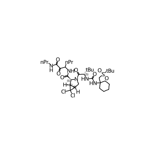 CCCNC(=O)C(=O)C(CCC)NC(=O)[C@@H]1[C@@H]2[C@H](CN1C(=O)[C@@H](NC(=O)NC1(CS(=O)(=O)C(C)(C)C)CCCCC1)C(C)(C)C)C2(Cl)Cl